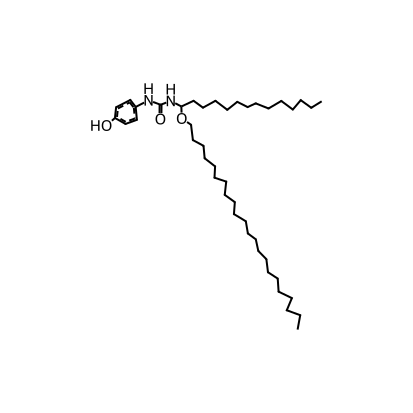 CCCCCCCCCCCCCCCCCCCCCCOC(CCCCCCCCCCCCC)NC(=O)Nc1ccc(O)cc1